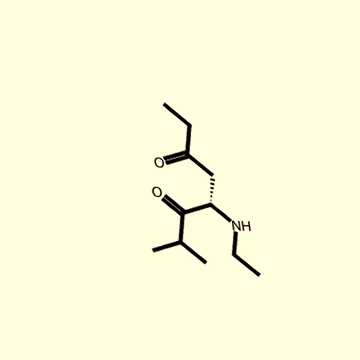 CCN[C@@H](CC(=O)CC)C(=O)C(C)C